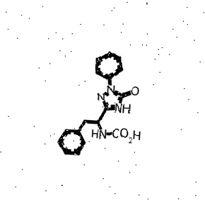 O=C(O)NC(Cc1ccccc1)c1nn(-c2ccccc2)c(=O)[nH]1